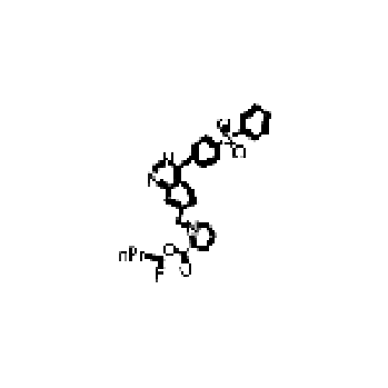 CCCC(F)OC(=O)[C@H]1CCCN1Cc1ccc2c(-c3ccc(S(=O)(=O)c4ccccc4)cc3)ncnc2c1